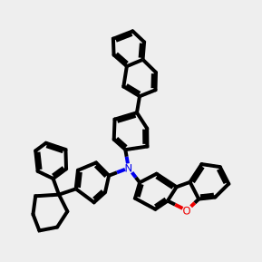 c1ccc(C2(c3ccc(N(c4ccc(-c5ccc6ccccc6c5)cc4)c4ccc5oc6ccccc6c5c4)cc3)CCCCC2)cc1